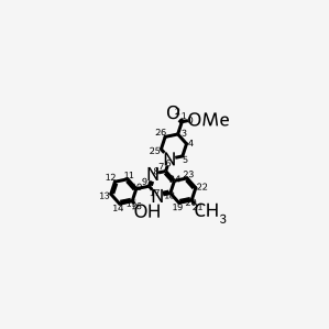 COC(=O)C1CCN(c2nc(-c3ccccc3O)nc3cc(C)ccc23)CC1